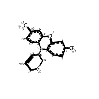 FC(F)(F)c1ccc2c(c1)Oc1cc(C(F)(F)F)ccc1N2[C@@H]1C=CCSC1